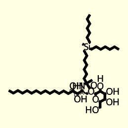 CCCCCCCCCCCCCC[C@@H](O)[C@@H](O)[C@H](COC1OC(CO)C(O)C(O)C1O)NC1(CCCCCCC[Si](C)(CCCCCCC)CCCCCCC)COC1